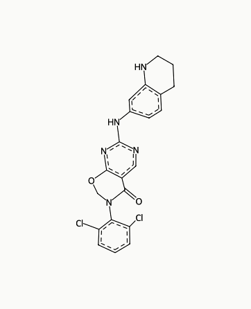 O=C1c2cnc(Nc3ccc4c(c3)NCCC4)nc2OCN1c1c(Cl)cccc1Cl